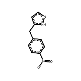 O=[N+]([O-])c1ccc(Cc2ccn[nH]2)cc1